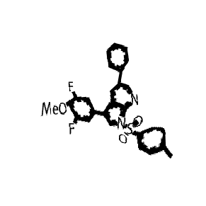 COc1c(F)cc(-c2cn(S(=O)(=O)c3ccc(C)cc3)c3ncc(-c4ccccc4)cc23)cc1F